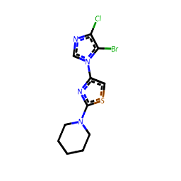 Clc1ncn(-c2csc(N3CCCCC3)n2)c1Br